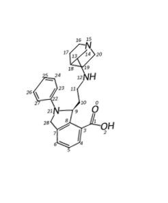 O=C(O)c1cccc2c1[C@H](CCNC1CN3CCC1CC3)N(c1ccccc1)C2